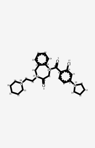 O=C1CN(C(=O)c2ccc(N3CCCC3)cc2Cl)c2ccccc2CN1CCN1CCCCC1